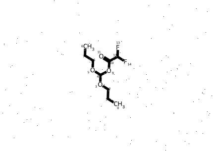 CCCOC(OCCC)OC(=O)C(F)F